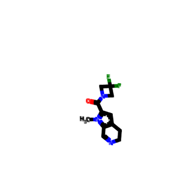 Cn1c(C(=O)N2CC(F)(F)C2)cc2c1C=NCC2